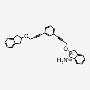 N[C@H]1c2ccccc2C[C@H]1OCC#Cc1cccc(C#CCOC2Cc3ccccc3C2)c1